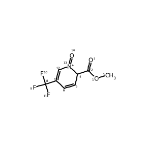 COC(=O)C1C=CC(C(F)(F)F)=C[N+]1=O